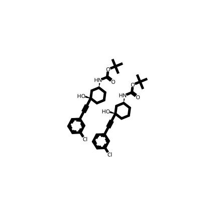 CC(C)(C)OC(=O)N[C@@H]1CCC[C@](O)(C#Cc2cccc(Cl)c2)C1.CC(C)(C)OC(=O)N[C@@H]1CCC[C@](O)(C#Cc2cccc(Cl)c2)C1